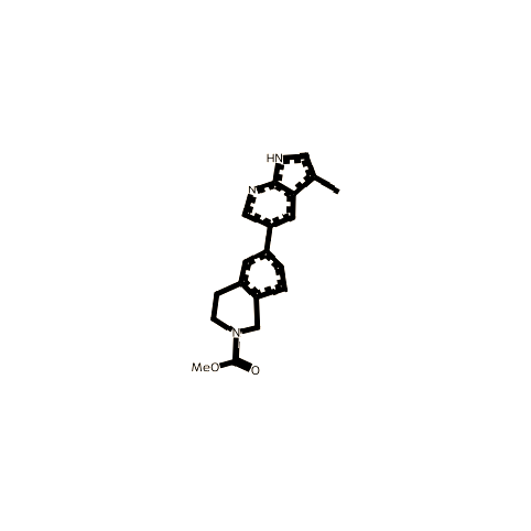 COC(=O)N1CCc2cc(-c3cnc4[nH]cc(C)c4c3)ccc2C1